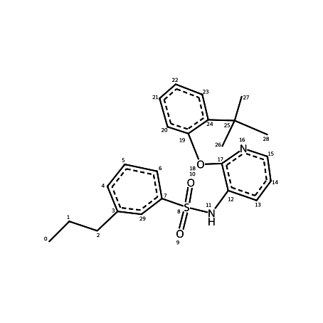 CCCc1cccc(S(=O)(=O)Nc2cccnc2Oc2ccccc2C(C)(C)C)c1